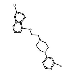 Clc1ccc2c(NCCN3CCN(c4ccnc(Cl)n4)CC3)ccnc2c1